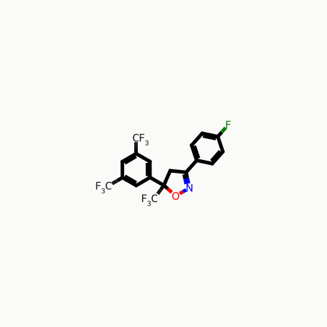 Fc1ccc(C2=NOC(c3cc(C(F)(F)F)cc(C(F)(F)F)c3)(C(F)(F)F)C2)cc1